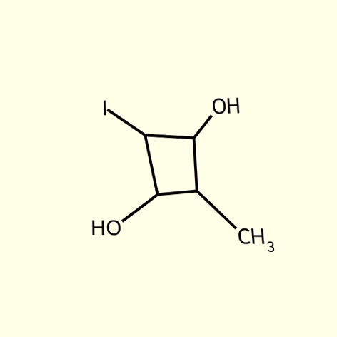 CC1C(O)C(I)C1O